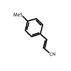 CSc1ccc(C=CC#N)cc1